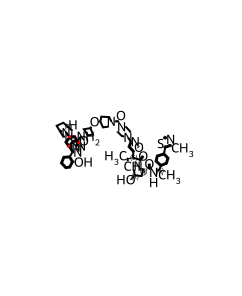 Cc1ncsc1-c1ccc([C@H](C)NC(=O)[C@@H]2C[C@@H](O)CN2C(=O)[C@H](c2cc(N3CCN(C(=O)N4CCC(OC5CC(Oc6cc(N7C8CC[C@@H]7CN(c7cc(-c9ccccc9O)nnc7N)C8)ccn6)C5)CC4)CC3)no2)C(C)C)cc1